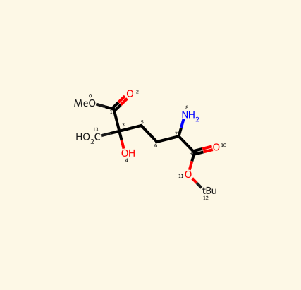 COC(=O)C(O)(CCC(N)C(=O)OC(C)(C)C)C(=O)O